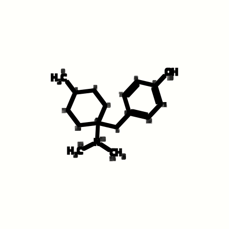 CC1CCC(Cc2ccc(O)cc2)(N(C)C)CC1